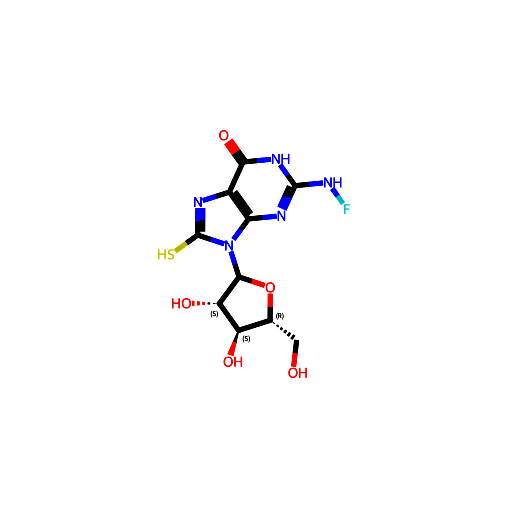 O=c1[nH]c(NF)nc2c1nc(S)n2C1O[C@H](CO)[C@@H](O)[C@@H]1O